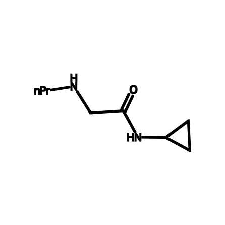 CCCNCC(=O)NC1CC1